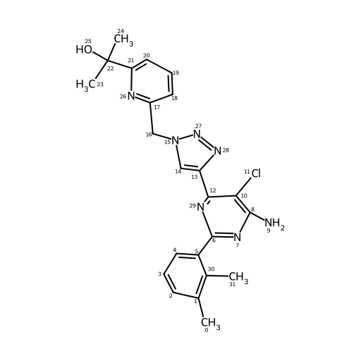 Cc1cccc(-c2nc(N)c(Cl)c(-c3cn(Cc4cccc(C(C)(C)O)n4)nn3)n2)c1C